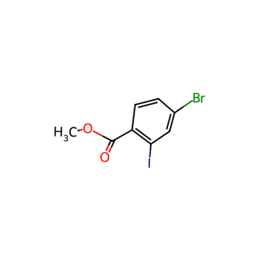 COC(=O)c1ccc(Br)cc1I